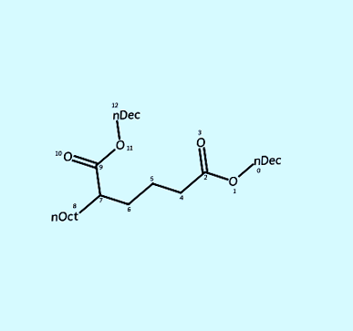 CCCCCCCCCCOC(=O)CCCC(CCCCCCCC)C(=O)OCCCCCCCCCC